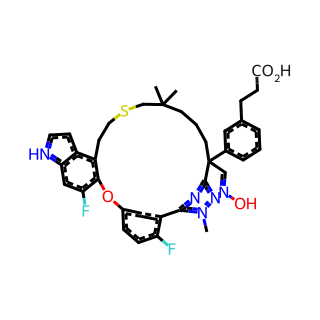 Cn1nc2nc1-c1cc(ccc1F)Oc1c(F)cc3[nH]ccc3c1CCSCC(C)(C)CCCC2(/C=N/O)c1cccc(CCC(=O)O)c1